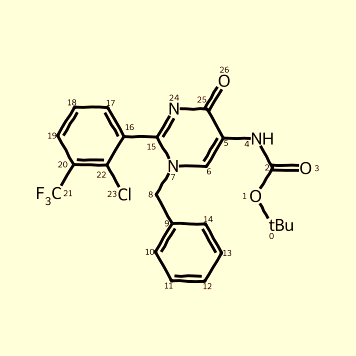 CC(C)(C)OC(=O)Nc1cn(Cc2ccccc2)c(-c2cccc(C(F)(F)F)c2Cl)nc1=O